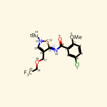 COc1ccc(Cl)cc1C(=O)/N=c1\sn(C(C)(C)C)cc1COCC(F)(F)F